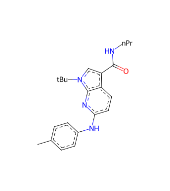 CCCNC(=O)c1cn(C(C)(C)C)c2nc(Nc3ccc(C)cc3)ccc12